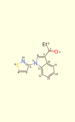 CCC(=O)c1cn(-c2ccsn2)c2ccccc12